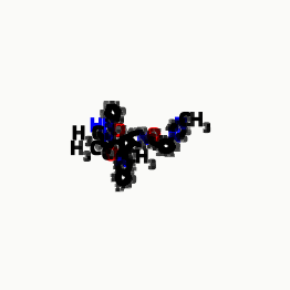 Cc1c(C)c(-c2cc3c(cc2C(=O)N2Cc4ccccc4C[C@H]2C)CN(C(=O)Cc2cccc(N4CCN(C)CC4)c2)CC3)n(C(=O)Nc2ccccc2)c1C